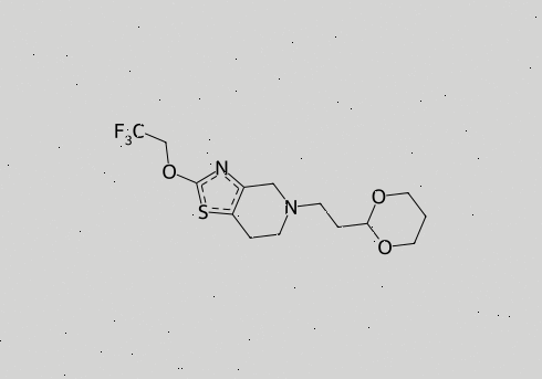 FC(F)(F)COc1nc2c(s1)CCN(CCC1OCCCO1)C2